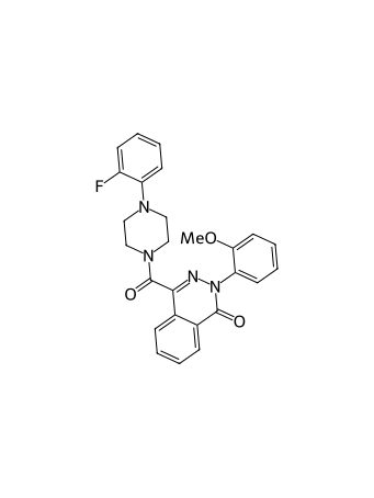 COc1ccccc1-n1nc(C(=O)N2CCN(c3ccccc3F)CC2)c2ccccc2c1=O